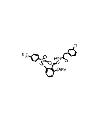 COc1cccc(OS(=O)(=O)c2ccc(C(F)(F)F)cc2)c1C=NNC(=O)Cc1cccc(Cl)c1